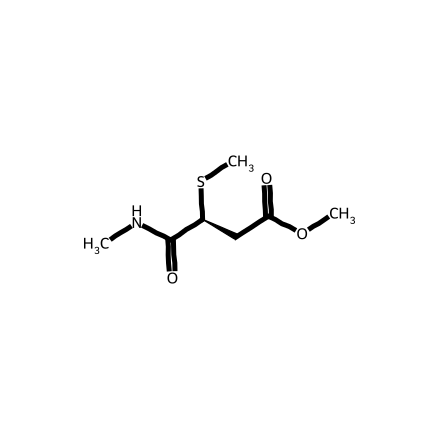 CNC(=O)[C@H](CC(=O)OC)SC